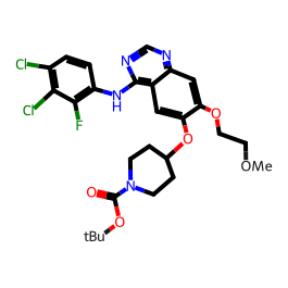 COCCOc1cc2ncnc(Nc3ccc(Cl)c(Cl)c3F)c2cc1OC1CCN(C(=O)OC(C)(C)C)CC1